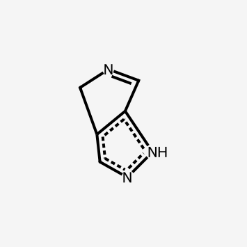 C1=NCc2cn[nH]c21